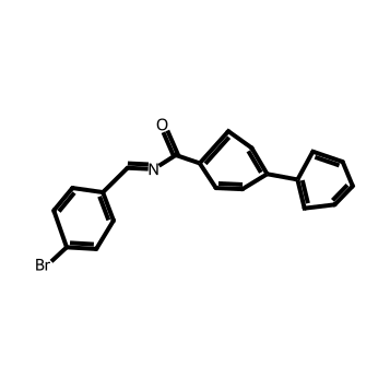 O=C(/N=C/c1ccc(Br)cc1)c1ccc(-c2ccccc2)cc1